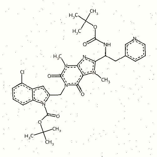 Cn1c(C(Cc2cccnc2)NC(=O)OC(C)(C)C)nc2c1c(=O)n(Cc1cc3c(Cl)cccc3n1C(=O)OC(C)(C)C)c(=O)n2C